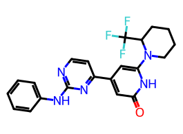 O=c1cc(-c2ccnc(Nc3ccccc3)n2)cc(N2CCCCC2C(F)(F)F)[nH]1